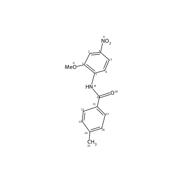 COc1cc([N+](=O)[O-])ccc1NC(=O)c1ccc(C)cc1